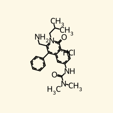 CC(C)Cn1c(CN)c(-c2ccccc2)c2cc(NC(=O)N(C)C)ccc2c1=O.Cl